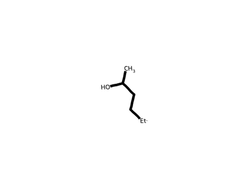 C[CH]CCC(C)O